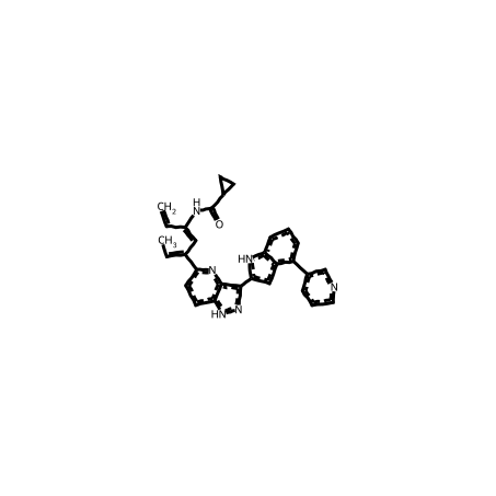 C=C/C(=C\C(=C/C)c1ccc2[nH]nc(-c3cc4c(-c5cccnc5)cccc4[nH]3)c2n1)NC(=O)C1CC1